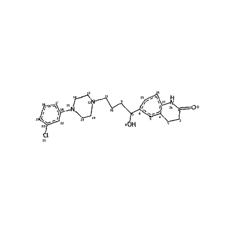 O=C1CCc2cc(C(O)CCCN3CCN(c4cccc(Cl)c4)CC3)ccc2N1